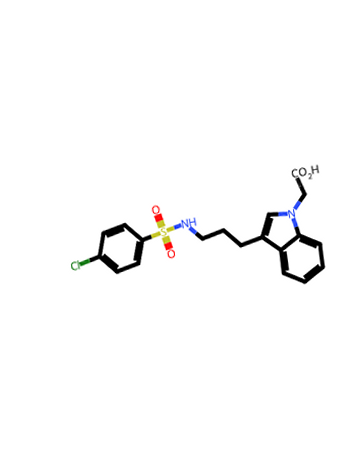 O=C(O)Cn1cc(CCCNS(=O)(=O)c2ccc(Cl)cc2)c2ccccc21